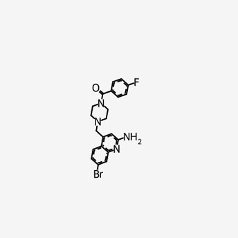 Nc1cc(CN2CCN(C(=O)c3ccc(F)cc3)CC2)c2ccc(Br)cc2n1